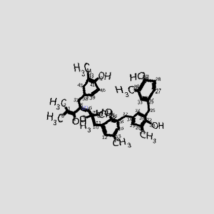 CC(C)=C(O)/C(=C\C(C)(C)Cc1cc(C)cc(Cc2cc(C)c(O)c(Cc3ccc(O)c(C)c3)c2)c1O)CC1C=CC(O)=C(C)C1